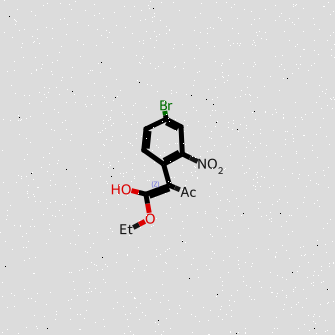 CCO/C(O)=C(\C(C)=O)c1ccc(Br)cc1[N+](=O)[O-]